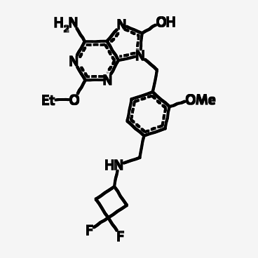 CCOc1nc(N)c2nc(O)n(Cc3ccc(CNC4CC(F)(F)C4)cc3OC)c2n1